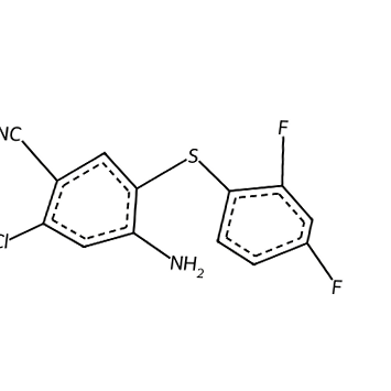 N#Cc1cc(Sc2ccc(F)cc2F)c(N)cc1Cl